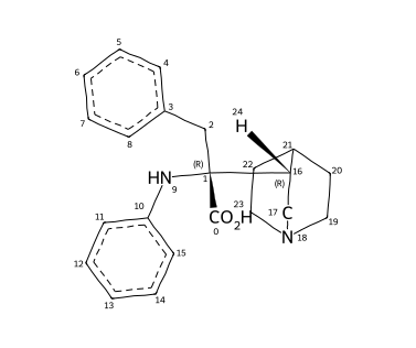 O=C(O)[C@](Cc1ccccc1)(Nc1ccccc1)[C@H]1CN2CCC1CC2